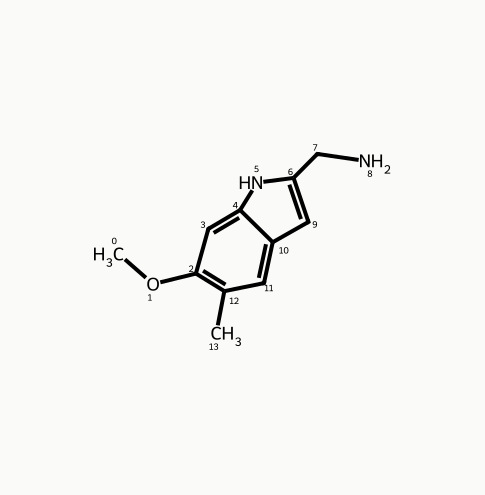 COc1cc2[nH]c(CN)cc2cc1C